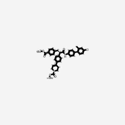 Cc1cc(Cl)ccc1-c1ccc(NC(=O)[C@H](Cc2ccc(C(=O)OC(C)(C)C)cc2)c2ccc(C3=CCN(C(=O)OC(C)(C)C)CC3)cc2)cc1